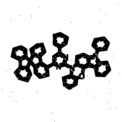 c1ccc(-c2cc(-c3cccc4c3-c3ccccc3C43c4ccccc4-c4ccccc43)nc(N3c4ccccc4Oc4c3ccc3c4c4ccccc4n3-c3ccccc3)n2)cc1